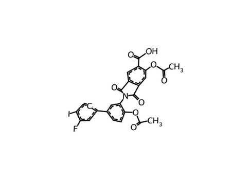 CC(=O)Oc1cc2c(cc1C(=O)O)C(=O)N(c1cc(-c3ccc(I)c(F)c3)ccc1OC(C)=O)C2=O